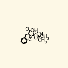 CC(C)(C)OC(=O)N(Cl)[C@@H](Cc1ccccc1)C(=O)O